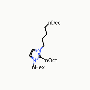 CCCCCCCCCCCCCCn1cc[n+](CCCCCC)c1CCCCCCCC